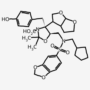 CC1(C)O[C@H](CN(CC2CCCC2)S(=O)(=O)c2ccc3c(c2)OCO3)[C@](Cc2ccc(O)cc2)(C2COC3OCCC32)N1C(=O)O